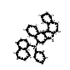 c1ccc(N(c2cccc3ccccc23)c2cc3sc4ccc5ccccc5c4c3c3ccccc23)cc1